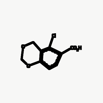 O=C(O)c1ccc2c(c1Cl)COCO2